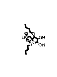 CCCCOC[C@]1(CS(=O)(=O)Cl)O[C@H](O)[C@@H](O)C1OCCCC